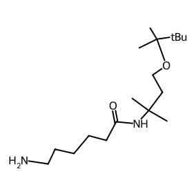 CC(C)(CCOC(C)(C)C(C)(C)C)NC(=O)CCCCCN